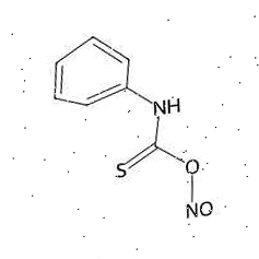 O=NOC(=S)Nc1ccccc1